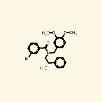 COc1ccc(CN(C[C@@H](C)c2ccccc2)C(=O)c2cccc(Br)c2)cc1OC